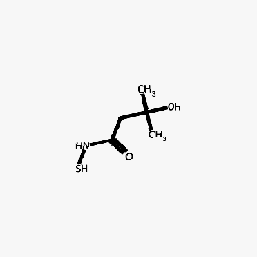 CC(C)(O)CC(=O)NS